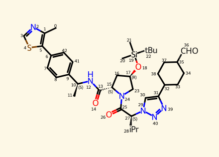 Cc1ncsc1-c1ccc([C@H](C)NC(=O)[C@@H]2C[C@@H](O[Si](C)(C)C(C)(C)C)CN2C(=O)[C@H](C(C)C)n2cc(C3CCC(C=O)CC3)nn2)cc1